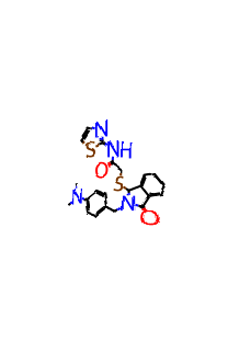 CN(C)c1ccc(CN2C(=O)c3ccccc3C2SCC(=O)Nc2nccs2)cc1